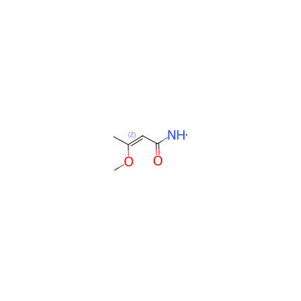 CO/C(C)=C\C([NH])=O